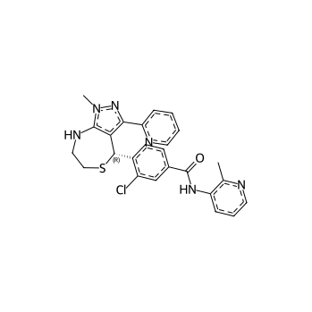 Cc1ncccc1NC(=O)c1ccc([C@@H]2SCCNc3c2c(-c2ccccn2)nn3C)c(Cl)c1